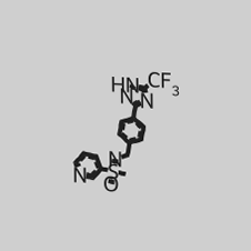 CS(=O)(=NCc1ccc(-c2n[nH]c(C(F)(F)F)n2)cc1)c1cccnc1